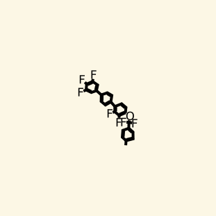 Cc1ccc(C(F)(F)Oc2ccc(-c3ccc(-c4cc(F)c(F)c(F)c4)cc3)c(F)c2F)cc1